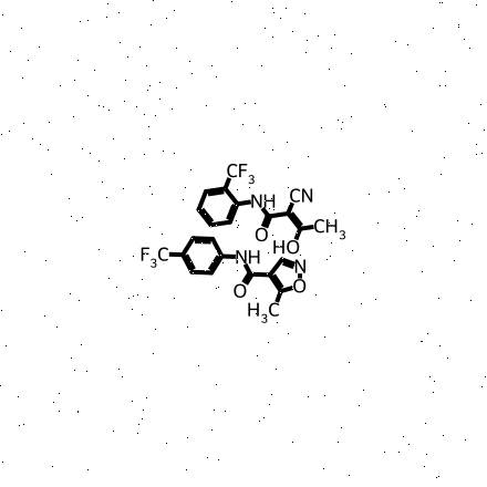 C/C(O)=C(\C#N)C(=O)Nc1ccccc1C(F)(F)F.Cc1oncc1C(=O)Nc1ccc(C(F)(F)F)cc1